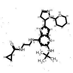 CC(C)(C)Nc1cc(NCCNC(=O)C2CC2)c2sc(C3CC=NN3C3CCCCO3)cc2n1